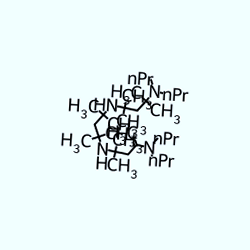 CCCN(CCC)C(C)CC(C)(C)NC(C)(C)CC(C)(C)NC(C)(C)CC(C)(C)N(CCC)CCC